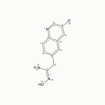 N/C(Cc1ccc2ncc(Cl)cc2c1)=N\O